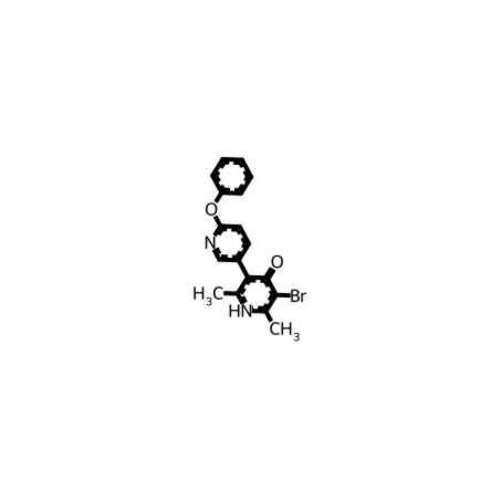 Cc1[nH]c(C)c(-c2ccc(Oc3ccccc3)nc2)c(=O)c1Br